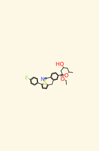 CCO[C@]1(c2ccc(C#N)c(Cc3ccc(-c4ccc(F)cc4)s3)c2)CC(O)CC(C)O1